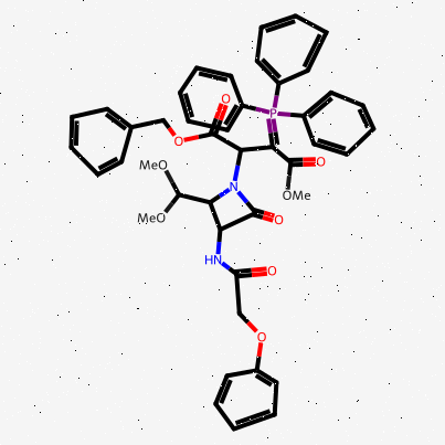 COC(=O)C(C(C(=O)OCc1ccccc1)N1C(=O)C(NC(=O)COc2ccccc2)C1C(OC)OC)=P(c1ccccc1)(c1ccccc1)c1ccccc1